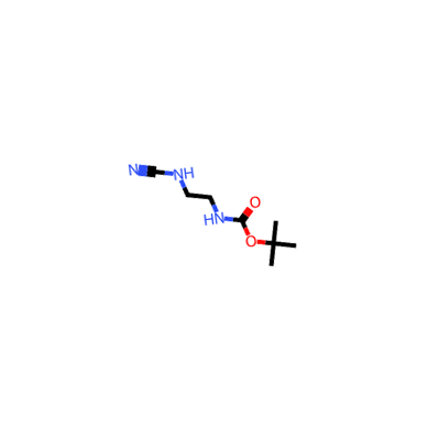 CC(C)(C)OC(=O)NCCNC#N